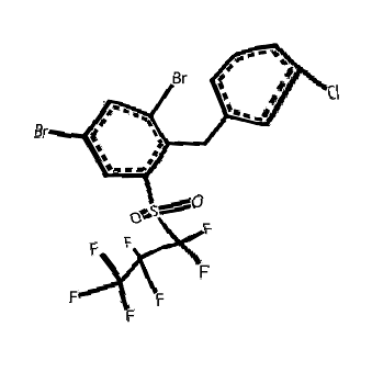 O=S(=O)(c1cc(Br)[c]c(Br)c1Cc1cccc(Cl)c1)C(F)(F)C(F)(F)C(F)(F)F